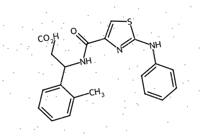 Cc1ccccc1C(CC(=O)O)NC(=O)c1csc(Nc2ccccc2)n1